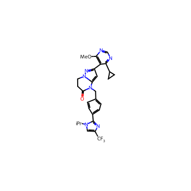 COc1ncnc(C2CC2)c1-c1cc2n(n1)CCC(=O)N2Cc1ccc(-c2nc(C(F)(F)F)cn2C(C)C)cc1